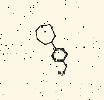 NCc1ccc(C2CCCCCCC2)cc1